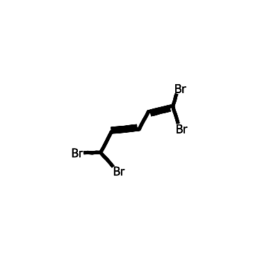 BrC(Br)=CC=CC(Br)Br